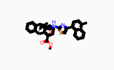 COC(=O)c1cccc2c1C1CC(C)(C(=O)Nc3nc(-c4ccc(C)c5ccccc45)cs3)C2c2ccccc21